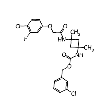 CC1(NC(=O)COc2ccc(Cl)c(F)c2)CC(C)(NC(=O)OCc2cccc(Cl)c2)C1